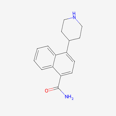 NC(=O)c1ccc(C2CCNCC2)c2ccccc12